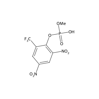 COP(=O)(O)Oc1c([N+](=O)[O-])cc([N+](=O)[O-])cc1C(F)(F)F